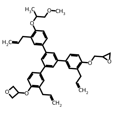 C=CCc1cc(-c2cc(-c3ccc(OC(C)COC)c(CC=C)c3)cc(-c3ccc(OC4COC4)c(CC=C)c3)c2)ccc1OCC1CO1